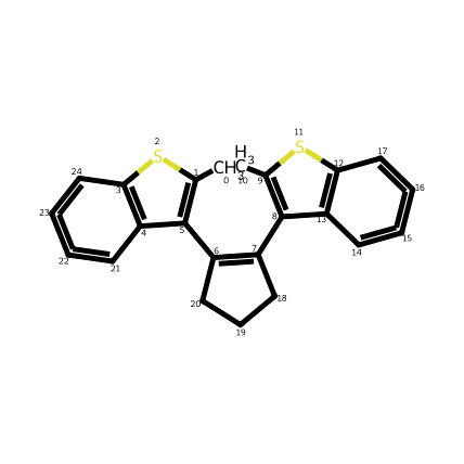 Cc1sc2c(c1C1=C(c3c(C)sc4c3C=C=C=C4)CCC1)C=C=C=C2